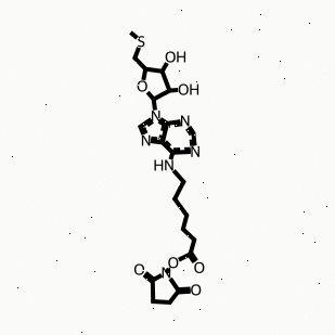 CSCC1OC(n2cnc3c(NCCCCCC(=O)ON4C(=O)CCC4=O)ncnc32)C(O)C1O